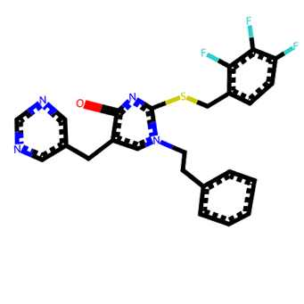 O=c1nc(SCc2ccc(F)c(F)c2F)n(CCc2ccccc2)cc1Cc1cncnc1